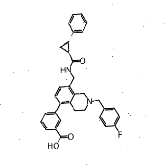 O=C(O)c1cccc(-c2ccc(CNC(=O)[C@H]3C[C@@H]3c3ccccc3)c3c2CCN(Cc2ccc(F)cc2)C3)c1